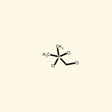 CP(C)(Cl)(Cl)CCl